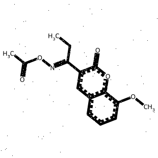 CCC(=NOC(C)=O)c1cc2cccc(OC)c2oc1=O